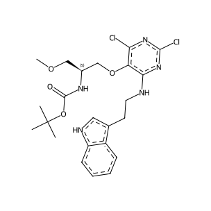 COC[C@@H](COc1c(Cl)nc(Cl)nc1NCCc1c[nH]c2ccccc12)NC(=O)OC(C)(C)C